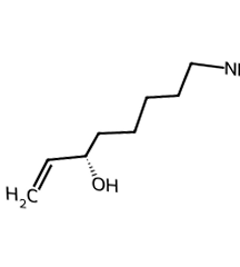 C=C[C@@H](O)CCCCCN